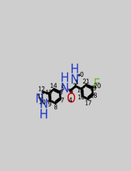 CNC(C(=O)Nc1ccc2[nH]ncc2c1)c1cccc(F)c1